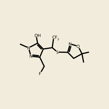 Cn1nc(CF)c(C(SC2=NOC(C)(C)C2)C(F)(F)F)c1O